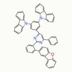 c1ccc(-c2cc(-c3cc(-n4c5ccccc5c5ccccc54)cc(-n4c5ccccc5c5ccccc54)c3)nc(-c3ccccc3-c3ccc4oc5ccccc5c4c3)n2)cc1